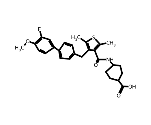 COc1ccc(-c2ccc(Cc3c(C)sc(C)c3C(=O)NC3CCC(C(=O)O)CC3)cc2)cc1F